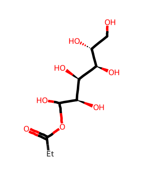 CCC(=O)OC(O)[C@H](O)[C@@H](O)[C@H](O)[C@H](O)CO